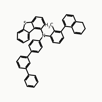 Cc1c(-c2cccc3c2C=CCC3)cccc1N(c1ccc(-c2cccc(-c3ccccc3)c2)cc1)c1cccc2sc3ccccc3c12